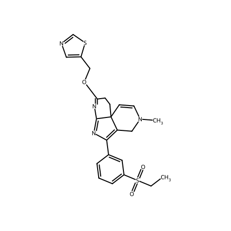 CCS(=O)(=O)c1cccc(C2=C3CN(C)C=CC34CCC(OCc3cncs3)=NC4=N2)c1